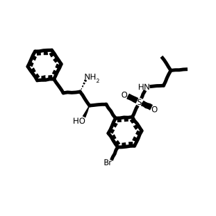 CC(C)CNS(=O)(=O)c1ccc(Br)cc1C[C@@H](O)[C@@H](N)Cc1ccccc1